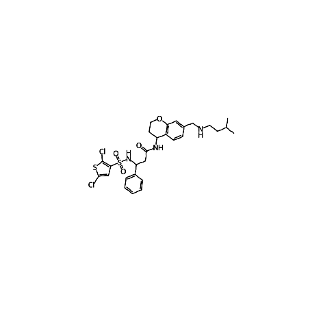 CC(C)CCNCc1ccc2c(c1)OCCC2NC(=O)CC(NS(=O)(=O)c1cc(Cl)sc1Cl)c1ccccc1